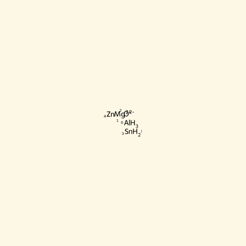 [AlH3].[Mg+2].[O-2].[SnH2].[Zn]